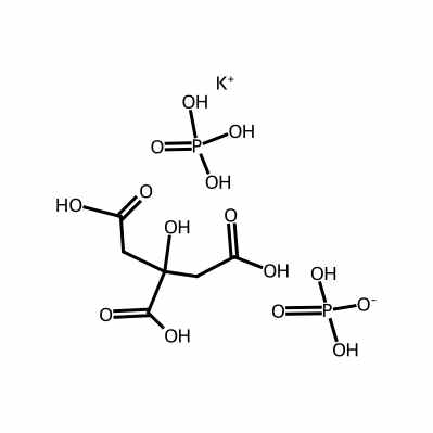 O=C(O)CC(O)(CC(=O)O)C(=O)O.O=P(O)(O)O.O=P([O-])(O)O.[K+]